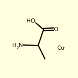 CC(N)C(=O)O.[Cu]